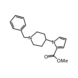 COC(=O)c1cccn1C1CCN(Cc2ccccc2)CC1